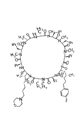 CC[C@@H]1NC(=O)[C@@H]2[C@@H]([C@H](C)CCCc3ccc(F)cc3)ON2C(=O)[C@H](C(C)C)N(C)C(=O)[C@H](CC(C)C)N(C)C(=O)[C@H](CC(C)C)N(C)C(=O)[C@@H](C)NC(=O)[C@H](C)NC(=O)[C@H](CC(C)C)N(C)C(=O)[C@H](C(C)C)NC(=O)[C@H]([C@@H](C)OCCCCN2CCOCC2)N(C)C(=O)[C@@H](C)N(C)C1=O